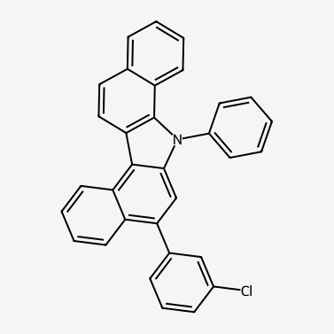 Clc1cccc(-c2cc3c(c4ccccc24)c2ccc4ccccc4c2n3-c2ccccc2)c1